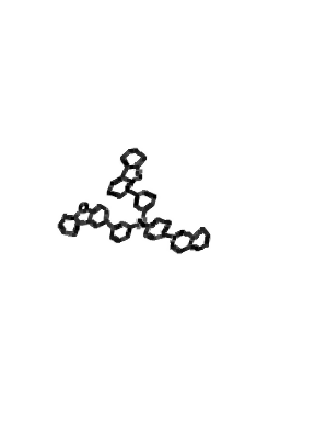 c1cc(-c2ccc3oc4ccccc4c3c2)cc(N(c2ccc(-c3ccc4ccccc4c3)cc2)c2cccc(-c3cccc4c3sc3ccccc34)c2)c1